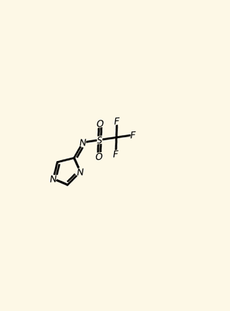 O=S(=O)(N=C1C=NC=N1)C(F)(F)F